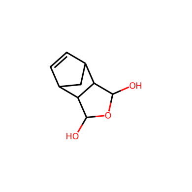 OC1OC(O)C2C3C=CC(C3)C12